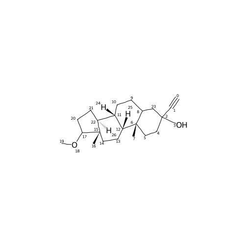 C#CC1(O)CC[C@@]2(C)C(CC[C@@H]3[C@H]2CC[C@]2(C)C(OC)CC[C@@H]32)C1